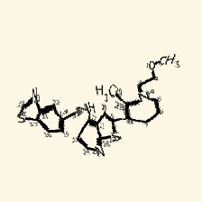 COCCN1CCC[C@@H](c2cc3c(Nc4ccc5scnc5c4)ccnc3s2)[C@H]1C